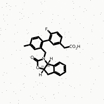 Cc1ccc(-c2cc(CC(=O)O)ccc2F)c(CN2C(=O)O[C@H]3Cc4ccccc4[C@H]32)c1